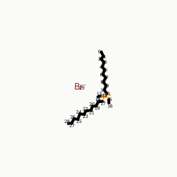 CCCCCCCCCCCC[P+](CC)(CC)CCCCCCCCCCCC.[Br-]